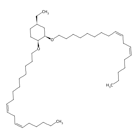 CCCCC/C=C\C/C=C\CCCCCCCCO[C@H]1CC[C@@H](CC)C[C@H]1OCCCCCCCC/C=C\C/C=C\CCCCC